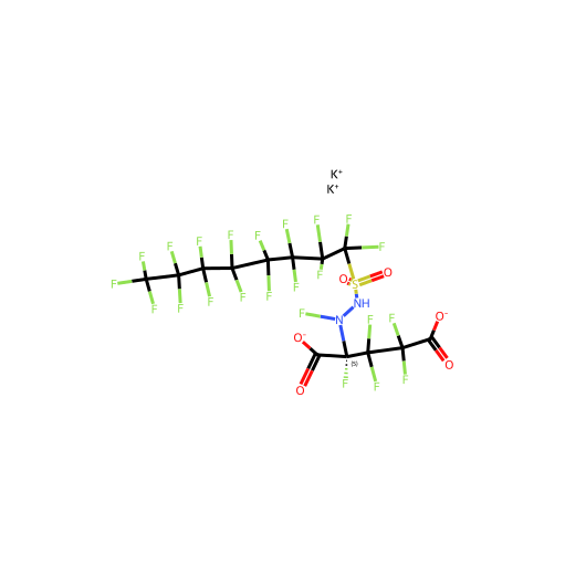 O=C([O-])C(F)(F)C(F)(F)[C@@](F)(C(=O)[O-])N(F)NS(=O)(=O)C(F)(F)C(F)(F)C(F)(F)C(F)(F)C(F)(F)C(F)(F)C(F)(F)C(F)(F)F.[K+].[K+]